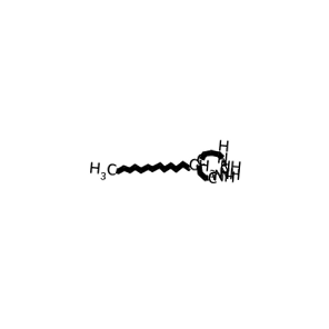 C1CCCCNNNNCCC1.CCCCCCCCCCCCCCC